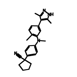 Cc1ccc(-c2c(C)n[nH]c2C)cc1N(C)c1ccc(C2(C#N)CCCC2)cc1